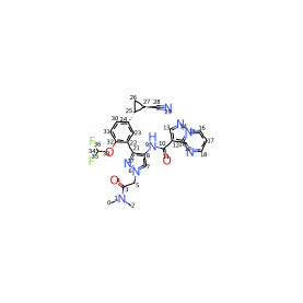 CN(C)C(=O)Cn1cc(NC(=O)c2cnn3cccnc23)c(-c2cc([C@@H]3C[C@H]3C#N)ccc2OC(F)F)n1